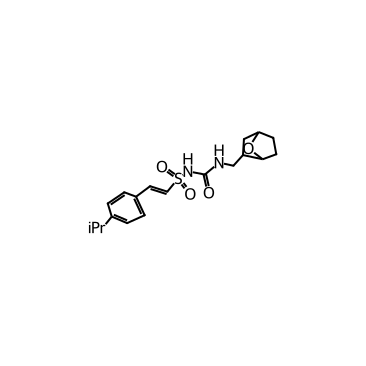 CC(C)c1ccc(/C=C/S(=O)(=O)NC(=O)NCC2CC3CCC2O3)cc1